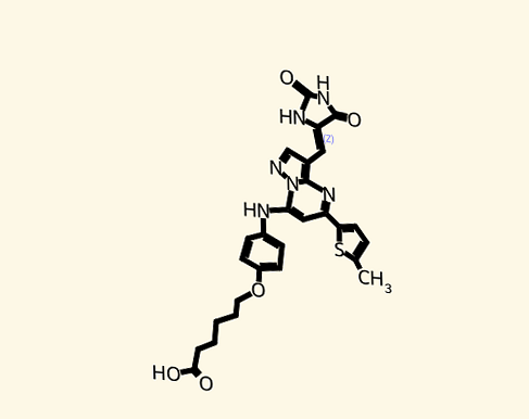 Cc1ccc(-c2cc(Nc3ccc(OCCCCCC(=O)O)cc3)n3ncc(/C=C4\NC(=O)NC4=O)c3n2)s1